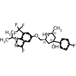 CC(C)n1nc(F)c2cc(OC[C@@H]3C[C@](O)(c4ccc(F)cc4)C[C@H](C)N3)cc(C(F)(F)F)c21